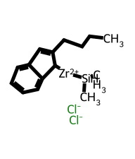 CCCCC1=Cc2ccccc2[CH]1[Zr+2][SiH](C)C.[Cl-].[Cl-]